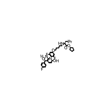 CC(C)C[C@H](NCCCCCOc1cc(F)c(N2C(N)=C(C(=O)c3ccc(F)cc3)C=CC2O)c(F)c1)C(=O)OC1CCCC1